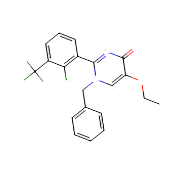 CCOc1cn(Cc2ccccc2)c(-c2cccc(C(F)(F)F)c2Cl)nc1=O